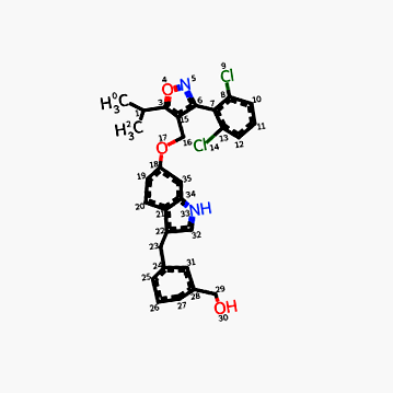 CC(C)c1onc(-c2c(Cl)cccc2Cl)c1COc1ccc2c(Cc3cccc(CO)c3)c[nH]c2c1